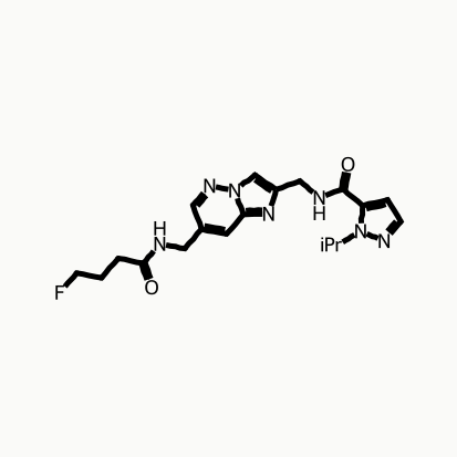 CC(C)n1nccc1C(=O)NCc1cn2ncc(CNC(=O)CCCF)cc2n1